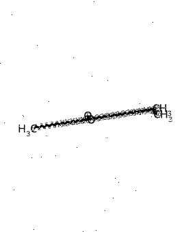 CCCCCCCCC=CCCCCCCCCCCCC(=O)OCCCCCCCCCCCCCCCCCCCCCCCC(C)CC